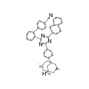 C[C@@H]1C[C@@H]2C[C@H](C)CC(c3ccc(-c4nc(-c5ccc6ccccc6c5)nc(-c5ccccc5-c5ccc(C#N)cc5)n4)cc3)(C1)C2